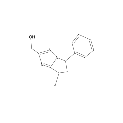 OCc1nc2n(n1)C(c1ccccc1)CC2F